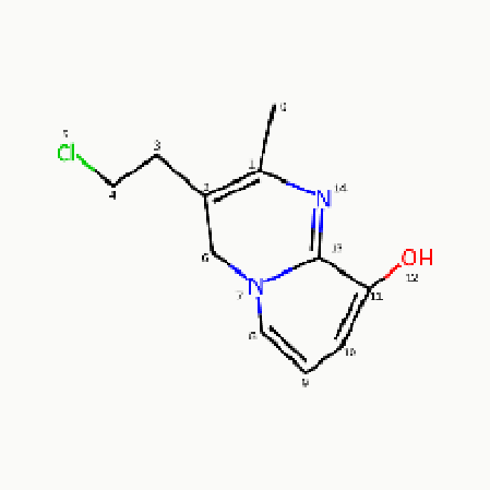 CC1=C(CCCl)CN2C=CC=C(O)C2=N1